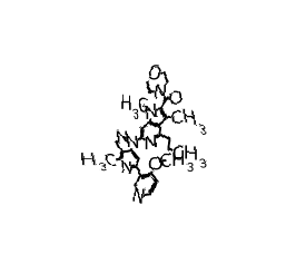 CCCc1nc(-n2ncc3c(C)nc(-c4cnccc4OC)cc32)cc2c1c(C)c(C(=O)N1CCOCC1)n2C